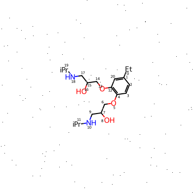 CCc1ccc(OCC(O)CNC(C)C)c(OCC(O)CNC(C)C)c1